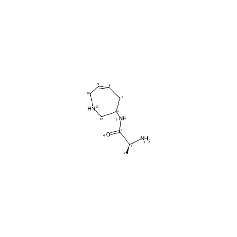 C[C@H](N)C(=O)NC1CC=CCNC1